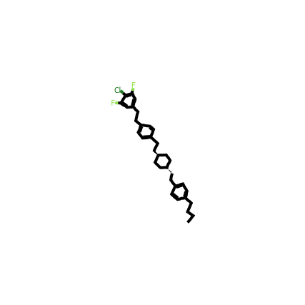 CCCCc1ccc(CC[C@H]2CC[C@H](CCc3ccc(CCc4cc(F)c(Cl)c(F)c4)cc3)CC2)cc1